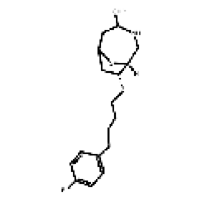 CCc1ccc(CCCCC[C@@H]2CC3CC(C=O)NC[C@H]2S3)cc1